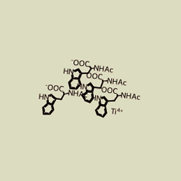 CC(=O)N[C@@H](Cc1c[nH]c2ccccc12)C(=O)[O-].CC(=O)N[C@@H](Cc1c[nH]c2ccccc12)C(=O)[O-].CC(=O)N[C@@H](Cc1c[nH]c2ccccc12)C(=O)[O-].CC(=O)N[C@@H](Cc1c[nH]c2ccccc12)C(=O)[O-].[Ti+4]